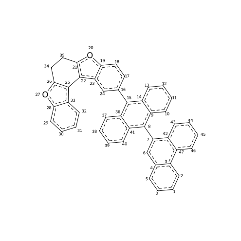 c1ccc2c(c1)cc(-c1c3ccccc3c(-c3ccc4oc5c(c4c3)-c3c(oc4ccccc34)CC5)c3ccccc13)c1ccccc12